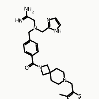 Cc1ccsc1CN1CCC2(CC1)CN(C(=O)c1ccc(CN(CC(=N)N)Cc3ncc[nH]3)cc1)C2